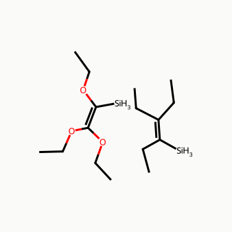 CCC([SiH3])=C(CC)CC.CCOC([SiH3])=C(OCC)OCC